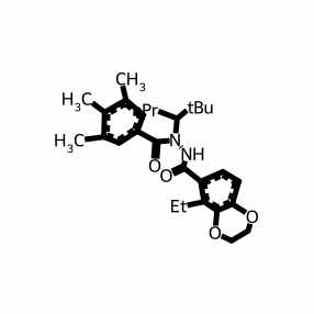 CCCC(N(NC(=O)c1ccc2c(c1CC)OCCO2)C(=O)c1cc(C)c(C)c(C)c1)C(C)(C)C